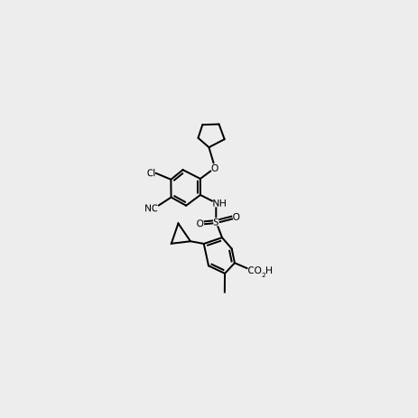 Cc1cc(C2CC2)c(S(=O)(=O)Nc2cc(C#N)c(Cl)cc2OC2CCCC2)cc1C(=O)O